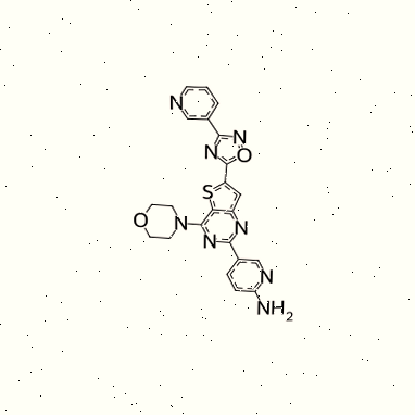 Nc1ccc(-c2nc(N3CCOCC3)c3sc(-c4nc(-c5cccnc5)no4)cc3n2)cn1